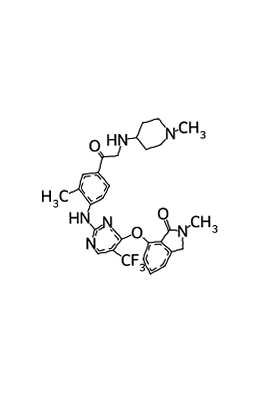 Cc1cc(C(=O)CNC2CCN(C)CC2)ccc1Nc1ncc(C(F)(F)F)c(Oc2cccc3c2C(=O)N(C)C3)n1